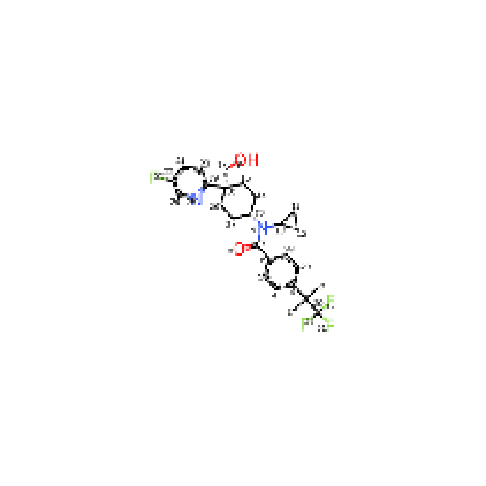 CC(C)(c1ccc(C(=O)N(C2CC2)[C@H]2CC[C@](CO)(c3ccc(F)cn3)CC2)cc1)C(F)(F)F